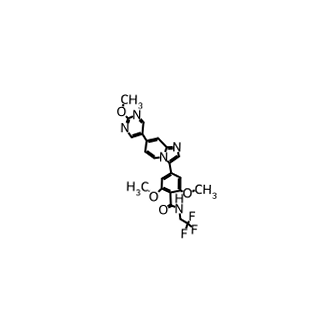 COc1ncc(-c2ccn3c(-c4cc(OC)c(C(=O)NCC(F)(F)F)c(OC)c4)cnc3c2)cn1